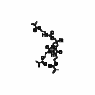 C=C(C)C(=O)OCCNC(=O)OCC(CC)(COC(=O)NCCOC(=O)C(=C)C)COC(=O)NCCOC(=O)C(=C)C